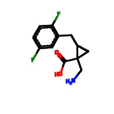 NCC1(C(=O)O)CC1Cc1cc(F)ccc1F